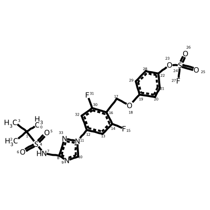 CC(C)(C)S(=O)(=O)Nc1ncn(-c2cc(F)c(COc3ccc(OS(=O)(=O)F)cc3)c(F)c2)n1